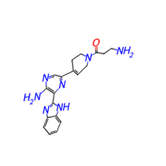 NCCC(=O)N1CC=C(c2cnc(N)c(-c3nc4ccccc4[nH]3)n2)CC1